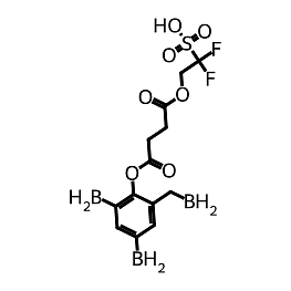 BCc1cc(B)cc(B)c1OC(=O)CCC(=O)OCC(F)(F)S(=O)(=O)O